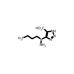 NN(CCCP)c1nn[nH]c1C(=O)O